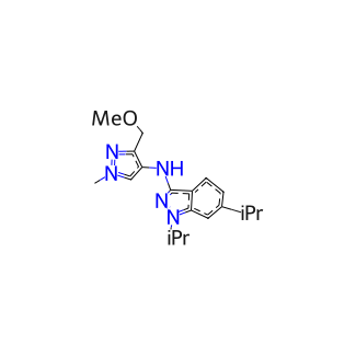 COCc1nn(C)cc1Nc1nn(C(C)C)c2cc(C(C)C)ccc12